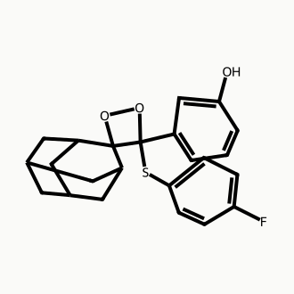 Oc1cccc(C2(Sc3ccc(F)cc3)OOC23C2CC4CC(C2)CC3C4)c1